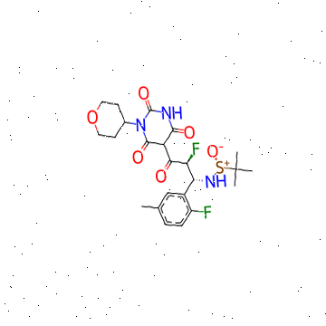 Cc1ccc(F)c([C@@H](N[S@@+]([O-])C(C)(C)C)[C@H](F)C(=O)C2C(=O)NC(=O)N(C3CCOCC3)C2=O)c1